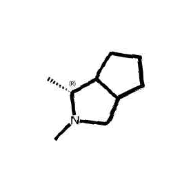 C[C@@H]1C2CCCC2CN1C